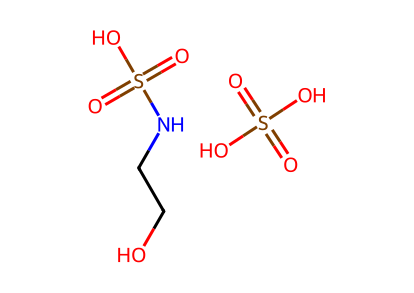 O=S(=O)(O)NCCO.O=S(=O)(O)O